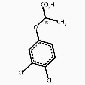 C[C@@H](Oc1ccc(Cl)c(Cl)c1)C(=O)O